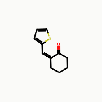 O=C1CCCCC1=Cc1cccs1